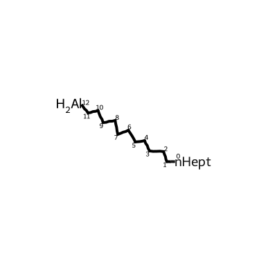 CCCCCCCCCCCCCCCCC[CH2][AlH2]